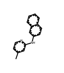 Cc1ccnc(Nc2ccc3ccccc3c2)c1